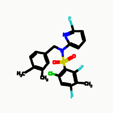 Cc1ccc(CN(c2cccc(F)n2)S(=O)(=O)c2c(Cl)cc(F)c(C)c2F)cc1C